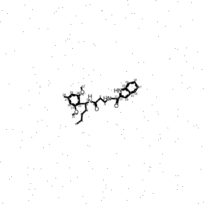 CCCCC(NC(=O)CCNC(=O)c1cc2ccccc2[nH]1)c1c(OC)cc(C)cc1OC